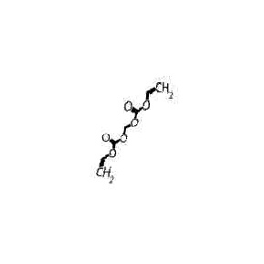 C=COC(=O)OCOC(=O)OC=C